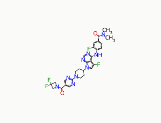 CN(C)C(=O)c1ccc(Nc2ncnc3c2c(F)cn3C2CCN(c3ncc(C(=O)N4CC(F)(F)C4)cn3)CC2)c(F)c1